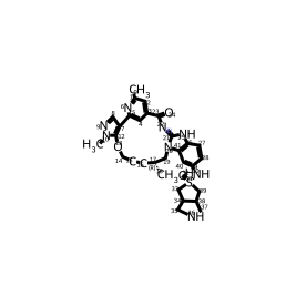 Cc1cc2cc(n1)-c1cnn(C)c1OCCC[C@@H](C)CN1/C(=N/C2=O)Nc2ccc(N[SH]3(=O)CC4CNCC4C3)cc21